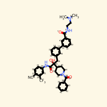 CN(C)CCNC(=O)c1cccc(-c2cccc(CC(O)(C(=O)Nc3ccc(C#N)c(C(F)(F)F)c3)C3CCN(C(=O)c4ccccc4)CC3)c2)c1